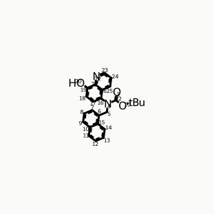 CC(C)(C)OC(=O)N(Cc1cccc2ccccc12)c1ccc(O)c2ncccc12